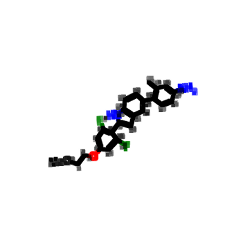 COCCOc1cc(F)c(-c2cc3cc(-c4ccc(N)cc4C)ccc3[nH]2)c(F)c1